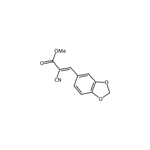 COC(=O)/C(C#N)=C/c1ccc2c(c1)OCO2